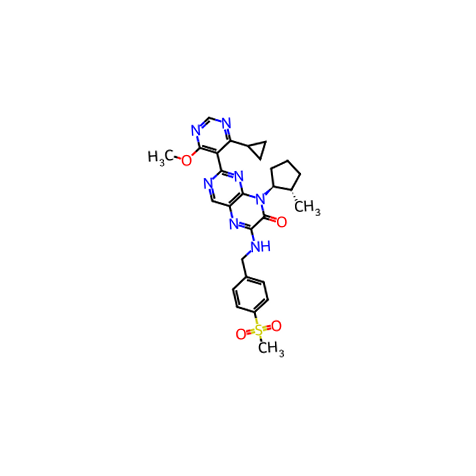 COc1ncnc(C2CC2)c1-c1ncc2nc(NCc3ccc(S(C)(=O)=O)cc3)c(=O)n([C@H]3CCC[C@@H]3C)c2n1